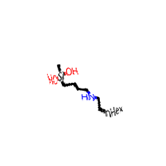 CCCCCCCCNCCCC[Si](C)(O)O